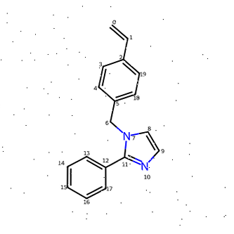 C=Cc1ccc(Cn2ccnc2-c2ccccc2)cc1